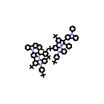 Cc1ccccc1-c1c(-c2cccc(CC(C)(C)c3cc4c5c(c3)N(c3ccc(C(C)(C)C)cc3)c3ccccc3B5n3c(-c5ccccc5)c(-c5ccc6c(c5)c5ccccc5n6-c5ccccc5)c5cc(C(C)(C)C)cc-4c53)c2)n2c3c(ccc(-n4c5ccccc5c5ccccc54)c13)-c1cc(C(C)(C)C)cc3c1B2c1cc(C(C)(C)C)ccc1N3c1ccc(C(C)(C)C)cc1